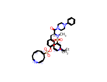 C=N/C=C\C/C(=C\C=C/CC)S(=O)(=O)N(C)[C@@H](Cc1ccc(OS(=O)(=O)/C2=C/C=C\C/C=N\C=C/C2)cc1)C(=O)N1CCN(c2ccccc2)CC1